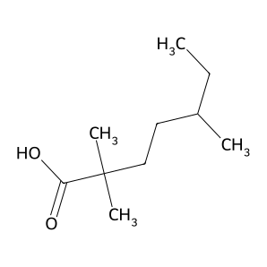 CCC(C)CCC(C)(C)C(=O)O